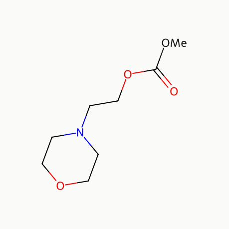 [CH2]OC(=O)OCCN1CCOCC1